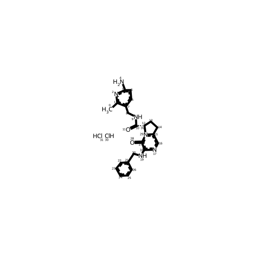 Cc1nc(N)ccc1CNC(=O)[C@@H]1CCc2cnc(NCc3ccccc3)c(=O)n21.Cl.Cl